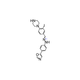 Ic1cc(/C=N/Nc2ccc(-c3cnco3)cc2)ccc1N1CCNCC1